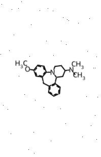 COc1ccc2c(c1)Cc1ccccc1C1CC(N(C)C)CCN21